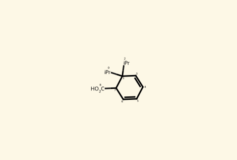 CC(C)C1(C(C)C)C=CC=CC1C(=O)O